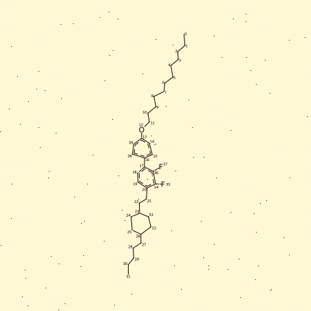 CCCCCCCCCCCCOc1ccc(-c2ccc(CCC3CCC(CCCCC)CC3)c(F)c2F)cc1